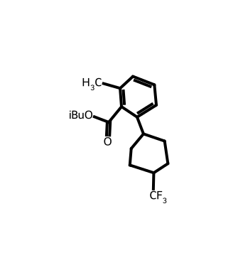 Cc1cccc(C2CCC(C(F)(F)F)CC2)c1C(=O)OCC(C)C